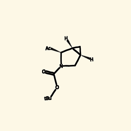 CC(=O)[C@@H]1[C@H]2C[C@H]2CN1C(=O)OC(C)(C)C